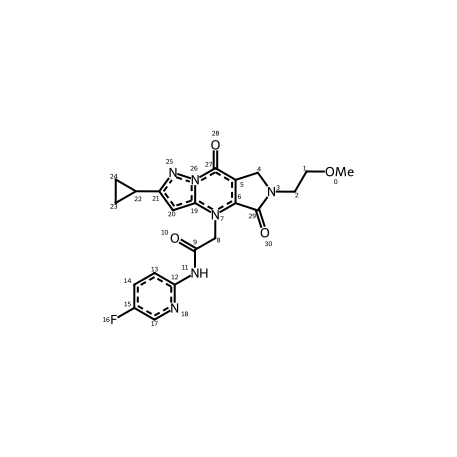 COCCN1Cc2c(n(CC(=O)Nc3ccc(F)cn3)c3cc(C4CC4)nn3c2=O)C1=O